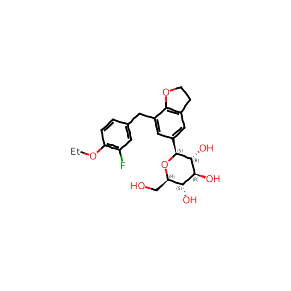 CCOc1ccc(Cc2cc([C@@H]3O[C@H](CO)[C@@H](O)[C@H](O)[C@H]3O)cc3c2OCC3)cc1F